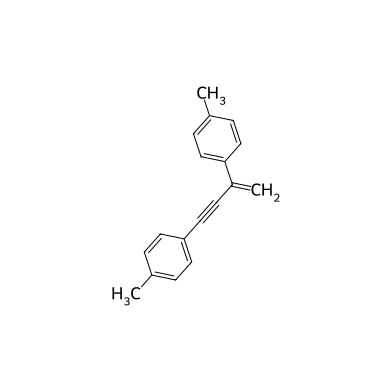 C=C(C#Cc1ccc(C)cc1)c1ccc(C)cc1